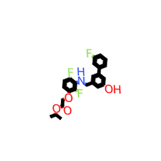 CC(C)OC(=O)COc1ccc(F)c(NCc2cc(O)cc(-c3cccc(F)c3)c2)c1F